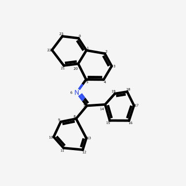 C1=c2cccc(N=C(c3ccccc3)c3ccccc3)c2=CCC1